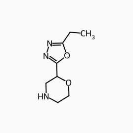 CCc1nnc(C2CNCCO2)o1